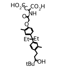 CCC(CC)(c1ccc(CC[C@@H](O)C(C)(C)C)c(C)c1)c1ccc(OCC(=O)NC(CC(=O)O)C(=O)O)c(C)c1